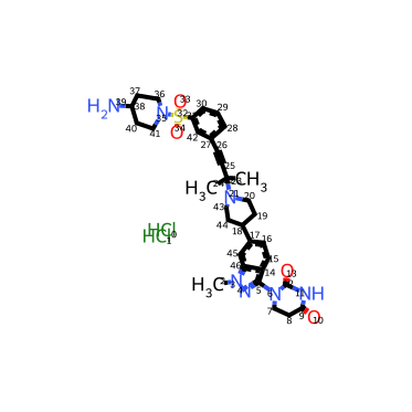 Cl.Cl.Cn1nc(N2CCC(=O)NC2=O)c2ccc(C3CCN(C(C)(C)C#Cc4cccc(S(=O)(=O)N5CCC(N)CC5)c4)CC3)cc21